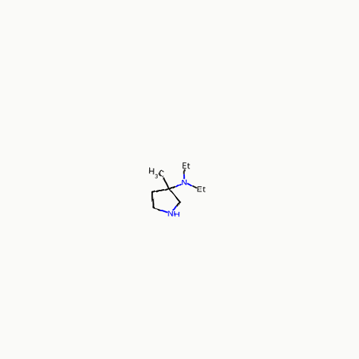 CCN(CC)C1(C)CCNC1